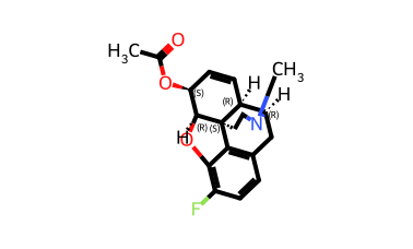 CC(=O)O[C@H]1C=C[C@H]2[C@H]3Cc4ccc(F)c5c4[C@@]2(CCN3C)[C@H]1O5